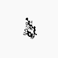 CCn1nc(C(C)CCC(C)n2cnc3cc(Cl)c(Cl)cc32)cc1C(=O)NC1CC1